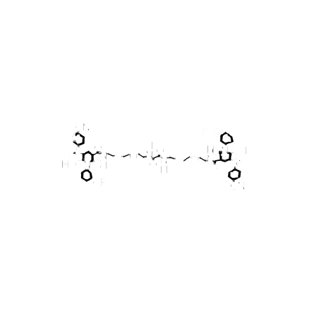 Cc1c([S+]([O-])c2ccc(C#N)cc2)cc(C(=O)NCCOCCOCCNC(=O)C(=O)NCCOCCOCCNC(=O)c2cc([S+]([O-])c3ccc(C#N)cc3)c(C)n(-c3cccc(C(F)(F)F)c3)c2=O)c(=O)n1-c1cccc(C(F)(F)F)c1